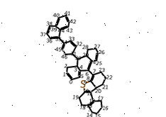 C1=CCC2C(=C1)C(C1=C3SC4=C(C5=C(CCCC5)CC4)C3CCC1)=C1C=CCCC1C2C1C=CC(c2cccc3ccccc23)=CC1